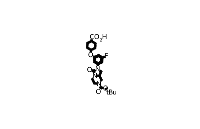 CC(C)(C)OC(=O)N1CCN2C(=O)N(c3cc(F)cc(OC4CCC(C(=O)O)CC4)c3)CC2C1